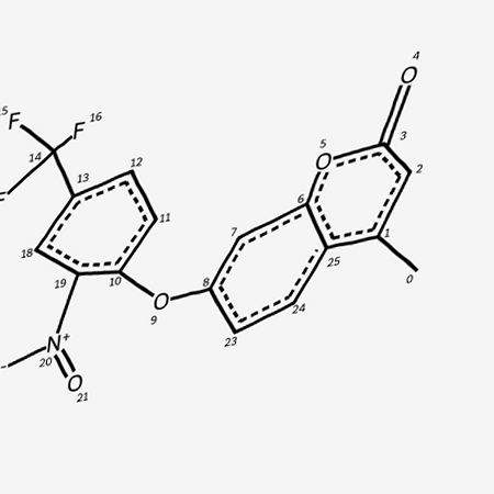 Cc1cc(=O)oc2cc(Oc3ccc(C(F)(F)F)cc3[N+](=O)[O-])ccc12